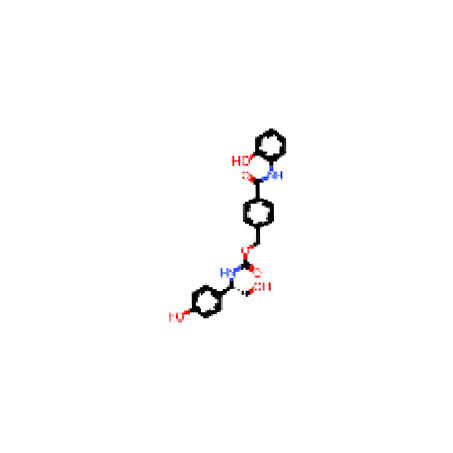 O=C(N[C@H](CO)c1ccc(O)cc1)OCc1ccc(C(=O)Nc2ccccc2O)cc1